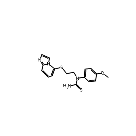 COc1ccc(N(CCSc2cccc3nccn23)C(N)=S)cc1